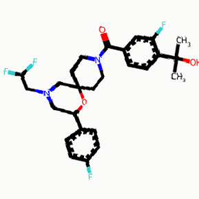 CC(C)(O)c1ccc(C(=O)N2CCC3(CC2)CN(CC(F)F)CC(c2ccc(F)cc2)O3)cc1F